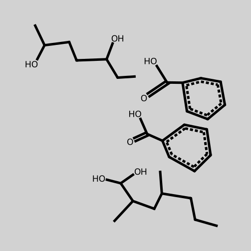 CCC(O)CCC(C)O.CCCC(C)CC(C)C(O)O.O=C(O)c1ccccc1.O=C(O)c1ccccc1